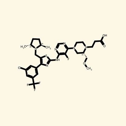 COC[C@@H]1CN(c2ncnc(Nc3nc(-c4cc(Cl)cc(C(F)(F)F)c4)c(CN4[C@H](C)CC[C@H]4C)s3)c2F)CCN1CCC(=O)O